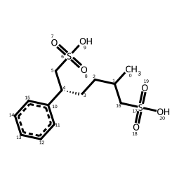 CC(CC[C@@H](CS(=O)(=O)O)c1ccccc1)CS(=O)(=O)O